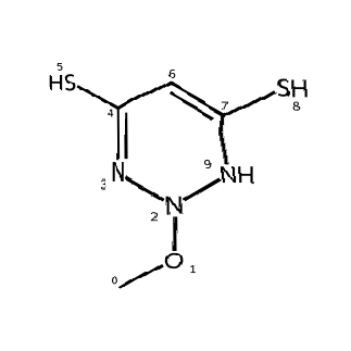 CON1N=C(S)C=C(S)N1